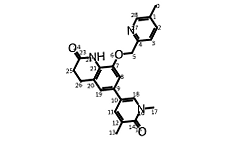 Cc1ccc(COc2cc(-c3cc(C)c(=O)n(C)c3)cc3c2NC(=O)CC3)nc1